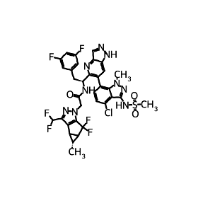 C[C@@H]1C2c3c(C(F)F)nn(CC(=O)N[C@@H](Cc4cc(F)cc(F)c4)c4nc5cn[nH]c5cc4-c4ccc(Cl)c5c(NS(C)(=O)=O)nn(C)c45)c3C(F)(F)C21